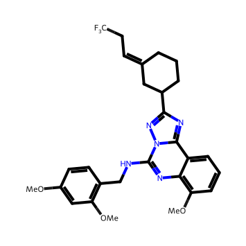 COc1ccc(CNc2nc3c(OC)cccc3c3nc(C4CCCC(=CCC(F)(F)F)C4)nn23)c(OC)c1